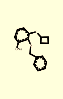 COc1cccc(OC2CCC2)c1SCc1ccccc1